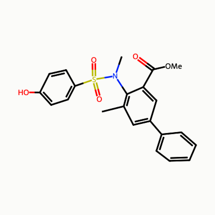 COC(=O)c1cc(-c2ccccc2)cc(C)c1N(C)S(=O)(=O)c1ccc(O)cc1